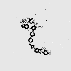 COc1cc(N2CCC(N3CCN(CC4CN(c5ccc6c(c5)C(=O)N(C5CCC(=O)NC5=O)C6)C4)CC3)CC2)c(C)cc1Nc1ncc(Br)c(Nc2cccc3ccn(S(C)(=O)=O)c23)n1